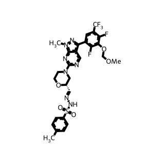 COCOc1c(F)c(-c2nn(C)c3nc(N4CCO[C@@H](/C=N/NS(=O)(=O)c5ccc(C)cc5)C4)ncc23)cc(C(F)(F)F)c1F